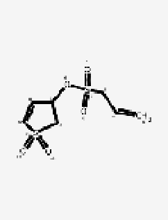 C=CCS(=O)(=O)OC1C=CS(=O)(=O)C1